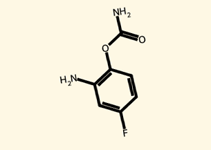 NC(=O)Oc1ccc(F)cc1N